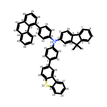 CC1(C)c2ccccc2-c2ccc(N(c3ccc(-c4ccc5sc6ccccc6c5c4)cc3)c3ccc(-c4cccc5ccc6ccccc6c45)cc3)cc21